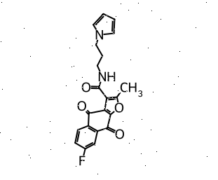 Cc1oc2c(c1C(=O)NCCCn1cccc1)C(=O)c1ccc(F)cc1C2=O